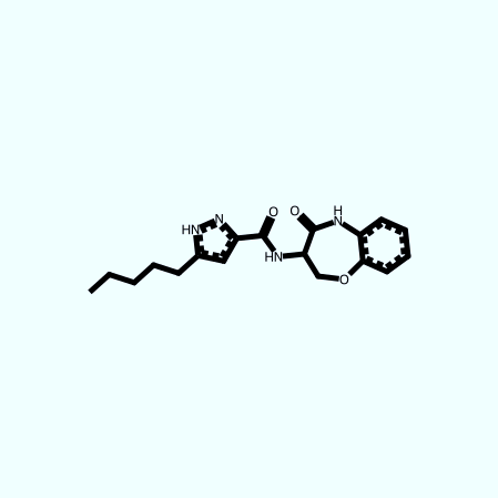 CCCCCc1cc(C(=O)NC2COc3ccccc3NC2=O)n[nH]1